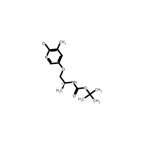 Cc1cc(OC[C@H](C)NC(=O)OC(C)(C)C)cnc1Cl